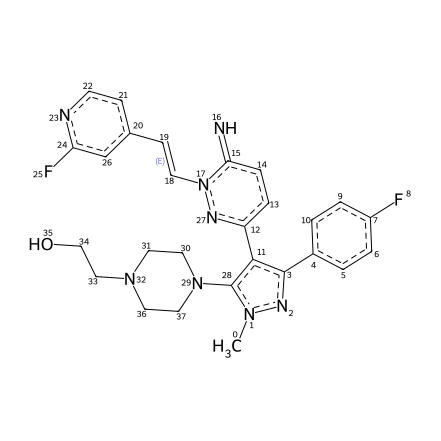 Cn1nc(-c2ccc(F)cc2)c(-c2ccc(=N)n(/C=C/c3ccnc(F)c3)n2)c1N1CCN(CCO)CC1